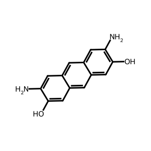 Nc1cc2cc3cc(N)c(O)cc3cc2cc1O